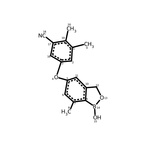 Cc1cc(Oc2cc(C)c3c(c2)COB3O)cc(C#N)c1C